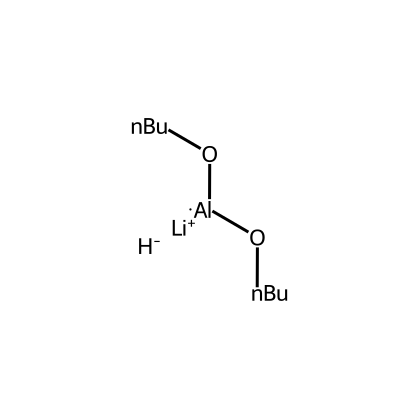 CCCC[O][Al][O]CCCC.[H-].[Li+]